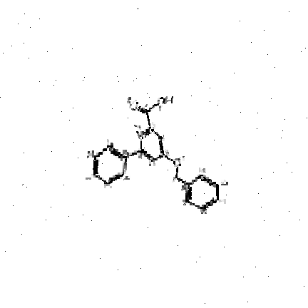 O=C(O)c1cc(OCc2ccccc2)cc(-c2ccccc2)n1